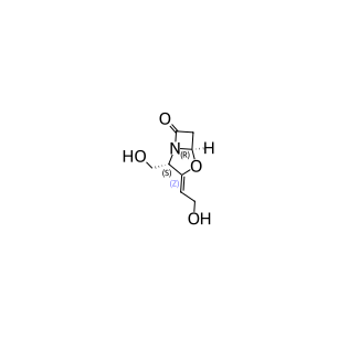 O=C1C[C@H]2O/C(=C\CO)[C@H](CO)N12